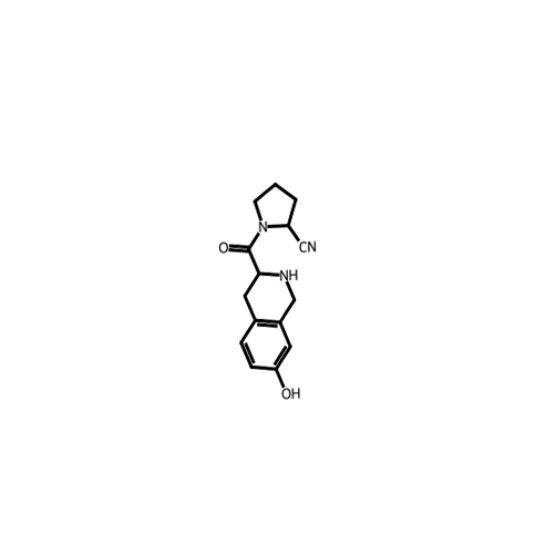 N#CC1CCCN1C(=O)C1Cc2ccc(O)cc2CN1